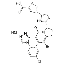 Cl.O=C(O)c1cc(-c2cnc([C@@H]3CCc4c(Br)c(-c5cc(Cl)ccc5-n5cnnn5)cc(=O)n43)[nH]2)cs1